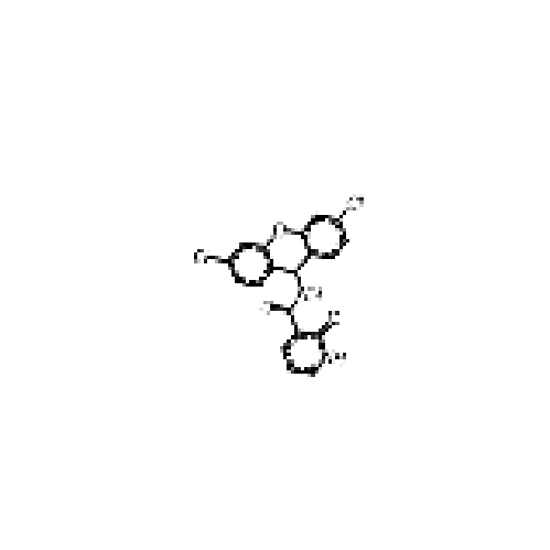 O=C(NC1c2ccc(Cl)cc2Oc2cc(Cl)ccc21)c1ccc[nH]c1=O